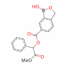 COC(=O)C(OC(=O)c1ccc2c(c1)B(O)OC2)c1ccccc1